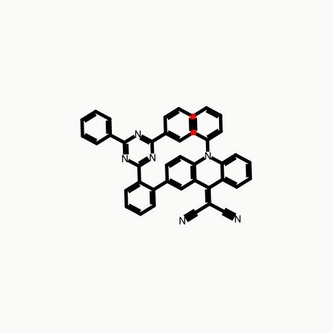 N#CC(C#N)=C1c2ccccc2N(c2ccccc2)c2ccc(-c3ccccc3-c3nc(-c4ccccc4)nc(-c4ccccc4)n3)cc21